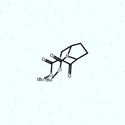 CC(C)(C)OC(=O)N1CC2CCC(C1=O)N2C(=O)OC(C)(C)C